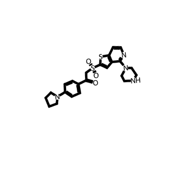 O=C(CS(=O)(=O)c1cc2c(N3CCNCC3)nccc2s1)c1ccc(N2CCCC2)cc1